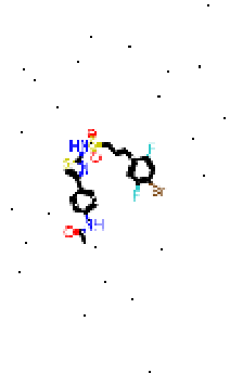 CC(=O)Nc1ccc(-c2csc(NS(=O)(=O)CC=Cc3cc(F)c(Br)cc3F)n2)cc1